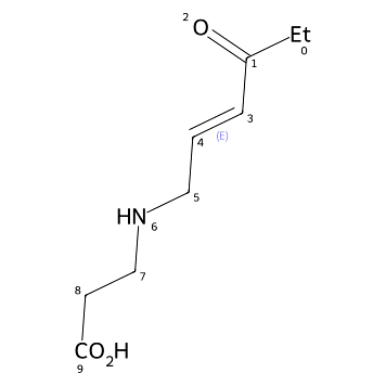 CCC(=O)/C=C/CNCCC(=O)O